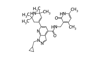 Cc1cc(C)c(CNC(=O)c2cc(C3=CC(C)(C)NC(C)(C)C3)nc3c2cnn3CC2CC2)c(=O)[nH]1